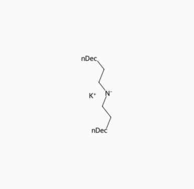 CCCCCCCCCCCC[N-]CCCCCCCCCCCC.[K+]